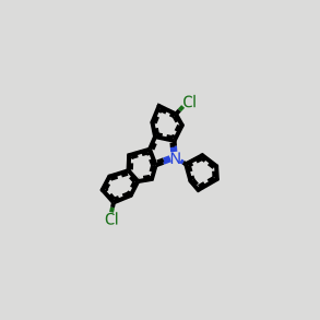 Clc1ccc2cc3c4ccc(Cl)cc4n(-c4ccccc4)c3cc2c1